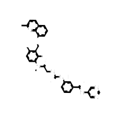 Cc1ccc2cccc(OCc3c(Cl)ccc(N(C)C(=O)CNC(=O)Nc4cccc(C(=O)Nc5cncnc5)c4)c3Cl)c2n1